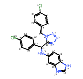 Clc1ccc(Cn2nnnc2C(Nc2ccc3[nH]cnc3c2)c2ccc(Cl)cc2)cc1